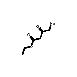 CCOC(=O)CC(=O)[CH2][Na]